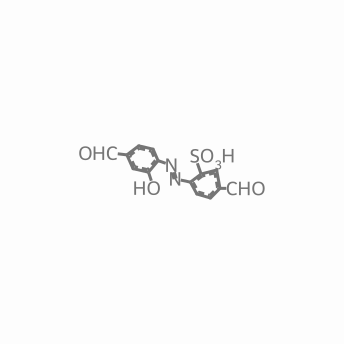 O=Cc1ccc(N=Nc2ccc(C=O)cc2S(=O)(=O)O)c(O)c1